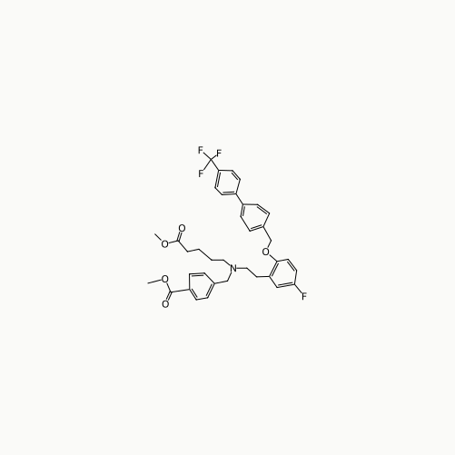 COC(=O)CCCCN(CCc1cc(F)ccc1OCc1ccc(-c2ccc(C(F)(F)F)cc2)cc1)Cc1ccc(C(=O)OC)cc1